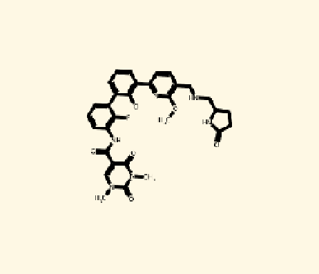 COc1nc(-c2cccc(-c3cccc(NC(=O)c4cn(C)c(=O)n(C)c4=O)c3F)c2Cl)ccc1CNCC1CCC(=O)N1